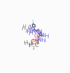 CCC(COC)NC(=O)c1c[nH]c2ncc(C(=N)c3ccc(F)cc3NC)nc12